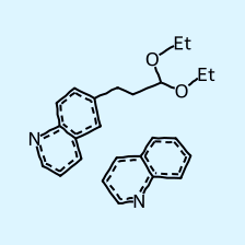 CCOC(CCc1ccc2ncccc2c1)OCC.c1ccc2ncccc2c1